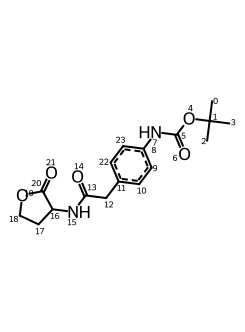 CC(C)(C)OC(=O)Nc1ccc(CC(=O)NC2CCOC2=O)cc1